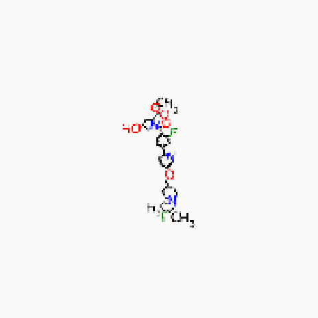 COC(=O)[C@@H]1C[C@@H](O)CN1C(=O)c1ccc(-c2ccc(OCC3CCN(CC(C)(C)F)CC3)cn2)cc1F